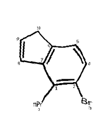 CCCc1c(Br)ccc2c1C=CC2